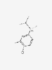 Cc1cc([C@@H](C)C(C)C)ccc1Cl